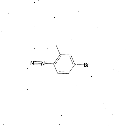 Cc1cc(Br)ccc1[N+]#N